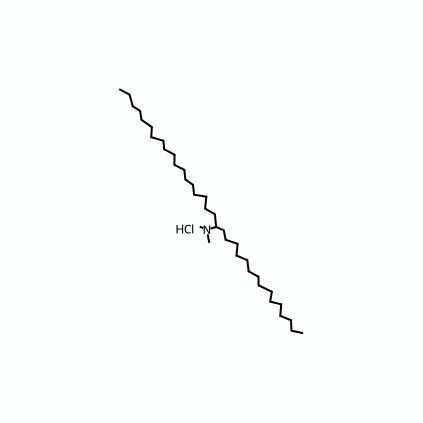 CCCCCCCCCCCCCCCCCCC(CCCCCCCCCCCCCCC)N(C)C.Cl